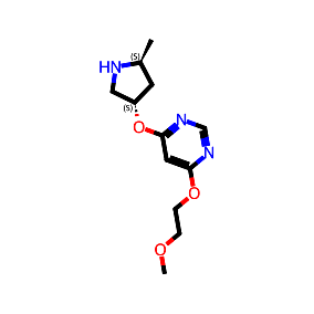 COCCOc1cc(O[C@@H]2CN[C@@H](C)C2)ncn1